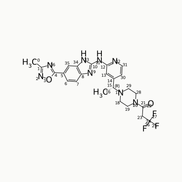 Cc1noc(-c2ccc3nc(Nc4cc([C@@H](C)N5CCN(C(=O)CC(F)(F)F)CC5)ccn4)[nH]c3c2)n1